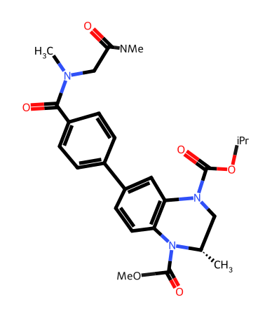 CNC(=O)CN(C)C(=O)c1ccc(-c2ccc3c(c2)N(C(=O)OC(C)C)C[C@H](C)N3C(=O)OC)cc1